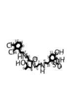 C=C(CO)CN(CCNCCc1ccc(O)c2[nH]c(=O)sc12)C(=O)CCNCCc1cccc(Cl)c1Cl